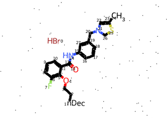 Br.CCCCCCCCCCCCOc1c(F)cccc1C(=O)Nc1cccc(CN2C=C(C)SC2)c1